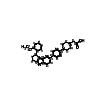 COc1ccccc1C1CCc2nc3ccc(-c4cnc(N5CCN(CC(=O)O)CC5)nc4)nc3n21